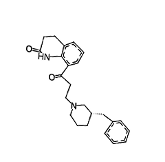 O=C1CCc2cccc(C(=O)CCN3CCC[C@@H](Cc4ccccc4)C3)c2N1